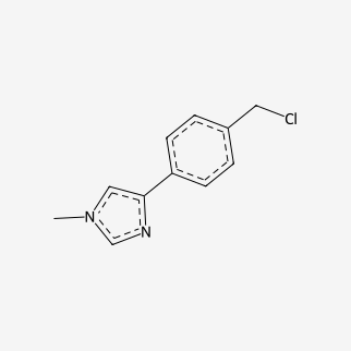 Cn1cnc(-c2ccc(CCl)cc2)c1